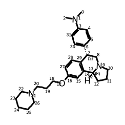 CN(C)c1ccc([C@@H]2CN3CCC[C@@H]3c3cc(OCCCN4CCCCC4)ccc32)cc1